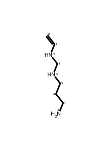 C=CNCNCCCN